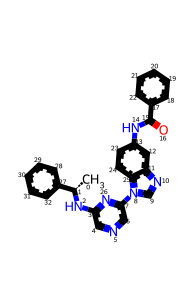 C[C@H](Nc1cncc(-n2cnc3cc(NC(=O)c4ccccc4)ccc32)n1)c1ccccc1